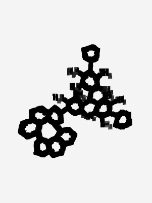 Bc1cc(-c2cc3ccc4cccc5c6cccc7ccc8cccc(c(c2)c3c45)c8c76)c(B)c(B)c1N(c1c(B)c(B)c(-c2ccccc2)c(B)c1B)c1c(B)c(B)c(-c2ccccc2)c(B)c1B